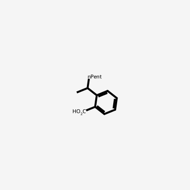 CCCCCC(C)c1ccccc1C(=O)O